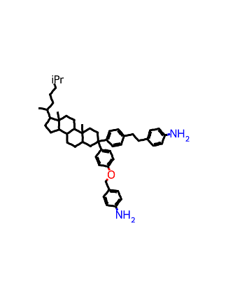 CC(C)CCCC(C)C1CCC2C3CCC4CC(c5ccc(CCc6ccc(N)cc6)cc5)(c5ccc(OCc6ccc(N)cc6)cc5)CCC4(C)C3CCC12C